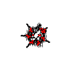 CCCCOC[C@H]1O[C@H]2C[C@@H](OC(C)=O)[C@@H]1O[C@H]1O[C@H](COCCCC)[C@@H](O[C@H]3O[C@H](COCCCC)[C@@H](O[C@H]4O[C@H](CO)[C@@H](O[C@H]5O[C@H](COCCCC)[C@@](C)(O[C@H]6O[C@H](COCCCC)[C@@H](O[C@H]7O[C@H](COCCCC)[C@@H](O2)[C@H](OC(C)=O)[C@H]7OCCCC)[C@H](OC(C)=O)[C@H]6OCCCC)[C@H](C)[C@H]5OCCCC)[C@H](OC(C)=O)[C@H]4O)[C@H](OC(C)=O)[C@H]3OCCCC)[C@H](OC(C)=O)[C@H]1OCCCC